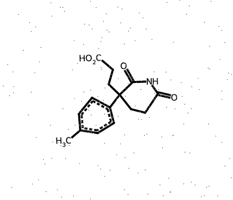 Cc1ccc(C2(CCC(=O)O)CCC(=O)NC2=O)cc1